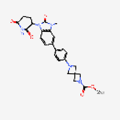 Cn1c(=O)n(C2CCC(=O)NC2=O)c2ccc(-c3ccc(N4CC5(CN(C(=O)OC(C)(C)C)C5)C4)cc3)cc21